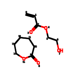 C=CC(=O)OCCO.O=C1CCCCCO1